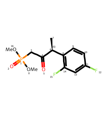 COP(=O)(CC(=O)[C@@H](C)c1ccc(F)cc1F)OC